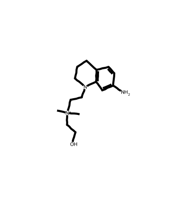 C[N+](C)(CCO)CCN1CCCc2ccc(N)cc21